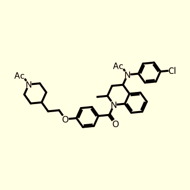 CC(=O)N1CCC(CCOc2ccc(C(=O)N3c4ccccc4C(N(C(C)=O)c4ccc(Cl)cc4)CC3C)cc2)CC1